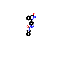 O=C1Cc2ccccc2C(c2ccc(NC(=O)N3Cc4ccccc4C3)cc2)=NN1